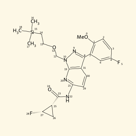 COc1ccc(F)cc1-c1nn(COCC[Si](C)(C)C)c2nc(NC(=O)[C@@H]3C[C@@H]3F)ccc12